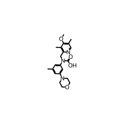 COc1c(C)cnc(CN(C(=O)O)c2cc(C)cc(N3CCOCC3)c2)c1C